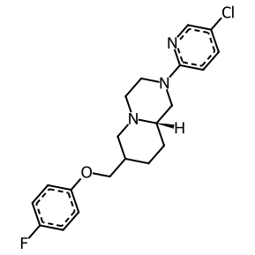 Fc1ccc(OCC2CC[C@H]3CN(c4ccc(Cl)cn4)CCN3C2)cc1